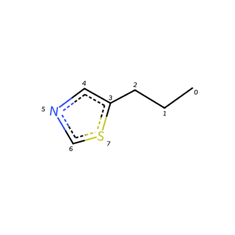 CCCc1cncs1